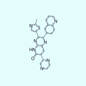 Cc1ncc(-c2nc3[nH]c(=O)c(-c4cnccn4)cc3nc2-c2ccc3ncccc3c2)s1